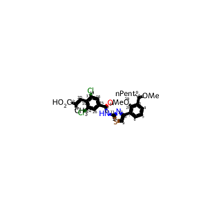 CCCCC[C@H](OC)c1cccc(-c2csc(NC(=O)c3cc(Cl)c(C=C(C)C(=O)O)c(Cl)c3)n2)c1OC